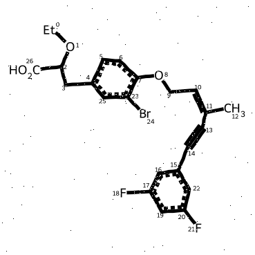 CCOC(Cc1ccc(OCC=C(C)C#Cc2cc(F)cc(F)c2)c(Br)c1)C(=O)O